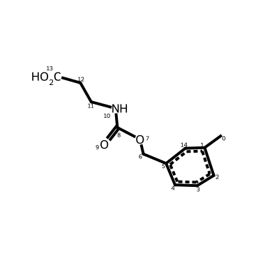 Cc1cccc(COC(=O)NCCC(=O)O)c1